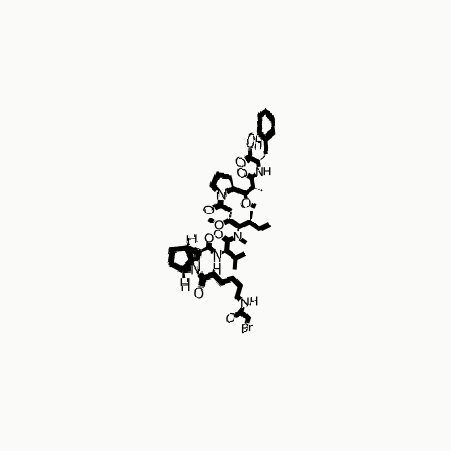 CC[C@H](C)[C@@H]([C@@H](CC(=O)N1CCC[C@H]1[C@H](OC)[C@@H](C)C(=O)N[C@@H](Cc1ccccc1)C(=O)O)OC)N(C)C(=O)[C@@H](NC(=O)[C@@H]1[C@H]2CC[C@H](C2)N1C(=O)CCCCCNC(=O)CBr)C(C)C